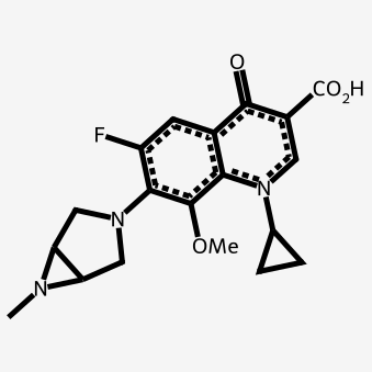 COc1c(N2CC3C(C2)N3C)c(F)cc2c(=O)c(C(=O)O)cn(C3CC3)c12